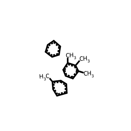 Cc1cccc(C)c1C.Cc1ccccc1.c1ccccc1